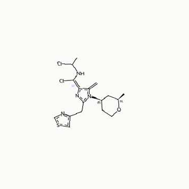 C=c1/c(=C(/Cl)NC(C)Cl)nc(Cc2cscn2)n1[C@@H]1CCO[C@H](C)C1